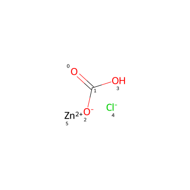 O=C([O-])O.[Cl-].[Zn+2]